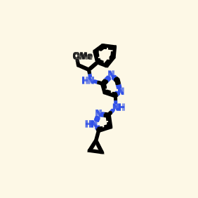 COCC(Nc1cc(Nc2cc(C3CC3)[nH]n2)ncn1)c1ccccc1